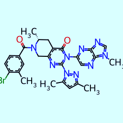 Cc1cc(C)n(-c2nc3c(c(=O)n2-c2cnc4c(ncn4C)n2)C[C@@H](C)N(C(=O)c2ccc(Br)c(C)c2)C3)n1